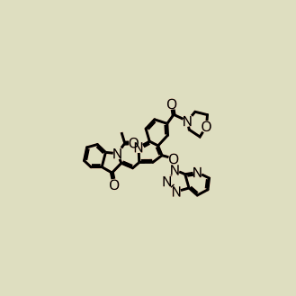 CC(=O)N1/C(=C\c2cc(On3nnc4cccnc43)c3cc(C(=O)N4CCOCC4)ccc3n2)C(=O)c2ccccc21